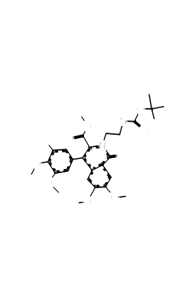 COC(=O)c1c(-c2cc(Br)c(OC)c(OC)c2)c2cc(OC)c(OC)cc2c(=O)n1CCNC(=O)OC(C)(C)C